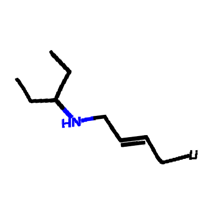 [Li][CH2]C=CCNC(CC)CC